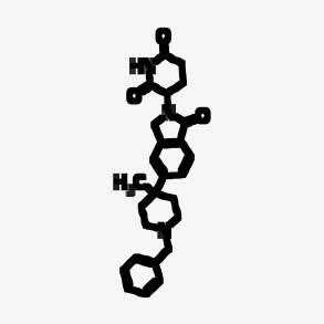 CC1(c2ccc3c(c2)CN(C2CCC(=O)NC2=O)C3=O)CCN(Cc2ccccc2)CC1